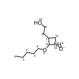 CCCCCOC1C(CCO)C[NH+]1[O-]